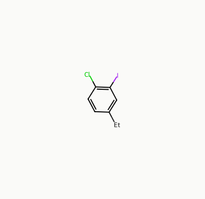 CCc1ccc(Cl)c(I)c1